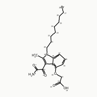 Cc1c(C(=O)C(N)=O)c2c(OCC(=O)O)cccc2n1CCCCCCCCBr